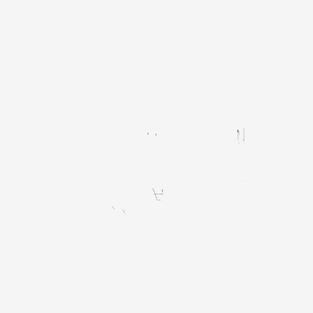 c1ccc(-c2cc(-c3ccccc3)c3c4c2Oc2cc5c(cc2B4c2c(ccc4ccccc24)O3)c2ccccc2n5-c2ccccc2)cc1